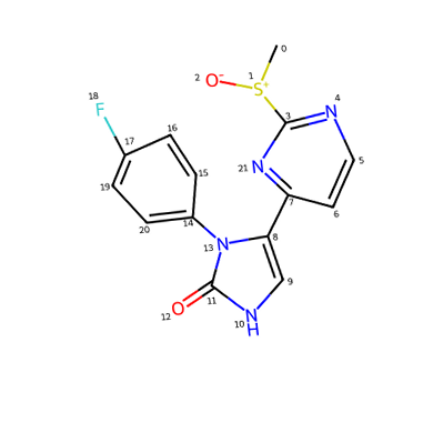 C[S+]([O-])c1nccc(-c2c[nH]c(=O)n2-c2ccc(F)cc2)n1